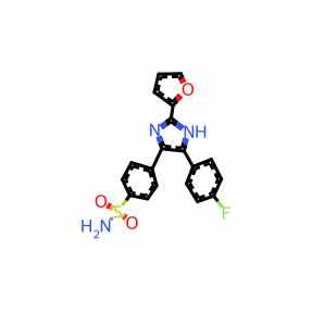 NS(=O)(=O)c1ccc(-c2nc(-c3ccco3)[nH]c2-c2ccc(F)cc2)cc1